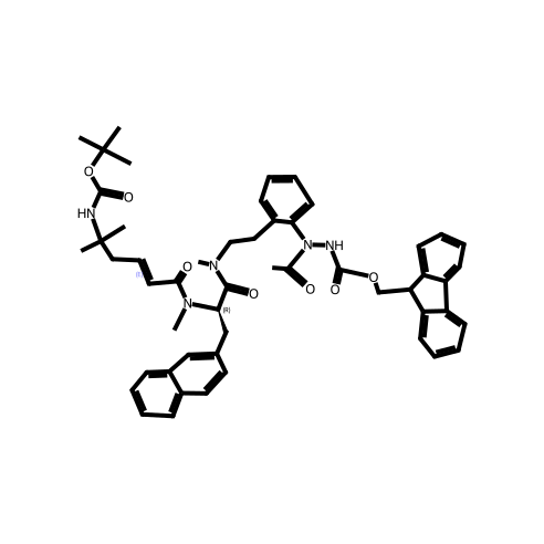 CC(=O)N(NC(=O)OCC1c2ccccc2-c2ccccc21)c1ccccc1CCN(C)C(=O)[C@@H](Cc1ccc2ccccc2c1)N(C)C(=O)/C=C/CC(C)(C)NC(=O)OC(C)(C)C